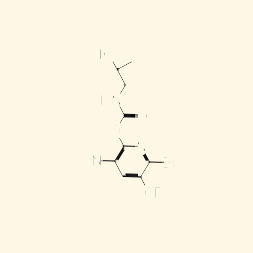 C[C@](O)(CNC(=O)Oc1nc(Br)c(C(F)(F)F)cc1N)C(F)(F)F